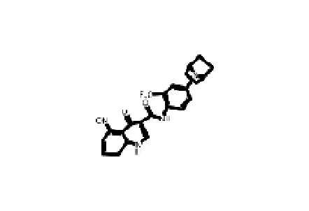 O=NC1=C2C(=O)C(C(=O)Nc3ccc(N4C5CCC4CC5)cc3C(F)(F)F)=CNC2CC=C1